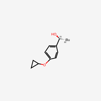 CC[C@@H](C)[C@H](O)c1ccc(OC2CC2)cc1